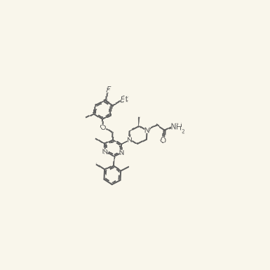 CCc1cc(OCc2c(C)nc(-c3c(C)cccc3C)nc2N2CCN(CC(N)=O)[C@H](C)C2)c(C)cc1F